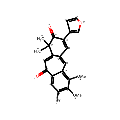 COc1c(C(C)C)cc2c(=O)cc3c(cc2c1OC)C=C(c1ccoc1)C(=O)C3(C)C